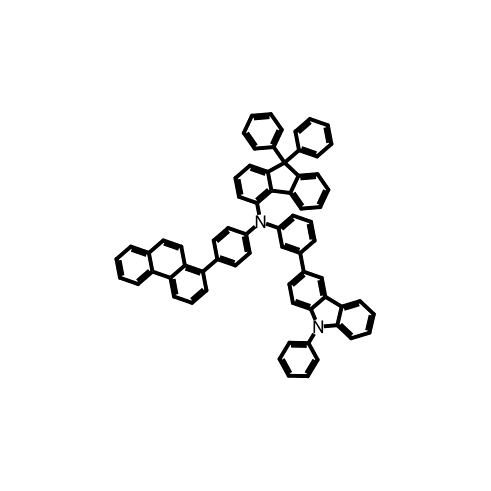 c1ccc(-n2c3ccccc3c3cc(-c4cccc(N(c5ccc(-c6cccc7c6ccc6ccccc67)cc5)c5cccc6c5-c5ccccc5C6(c5ccccc5)c5ccccc5)c4)ccc32)cc1